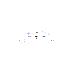 CC[C@@H]1CCC[C@H](F)[C@H](N(c2cnc(-c3ccc(-c4cnc5c(c4)OC(C)(C)CC5)cc3O)nn2)C2CC2)C1